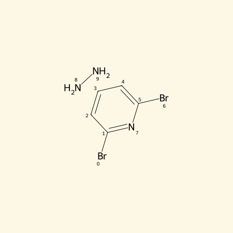 Brc1cccc(Br)n1.NN